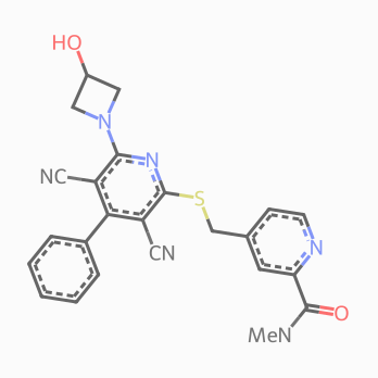 CNC(=O)c1cc(CSc2nc(N3CC(O)C3)c(C#N)c(-c3ccccc3)c2C#N)ccn1